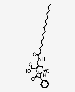 CCCCCCCCCCCCCCCC(=O)NCC1=C(C(=O)O)N2C(=O)C(c3ccccc3)[C@@H]2[S+]([O-])C1